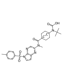 Cc1ccc(S(=O)(=O)n2ccc3nc(N(C)C(=O)C45CCC(N(C(=O)O)C(C)(C)C)(CC4)CC5)cnc32)cc1